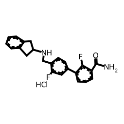 Cl.NC(=O)c1cccc(-c2ccc(CNC3Cc4ccccc4C3)c(F)c2)c1F